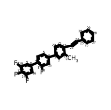 Cc1cc(-c2ccc(-c3cc(F)c(F)c(F)c3)c(F)c2)ccc1C#Cc1ccccc1